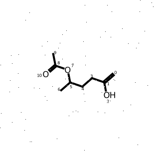 C=C(O)CCC(C)OC(C)=O